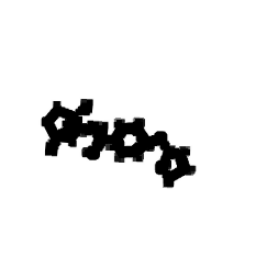 O=C(N[C@@H]1C[C@H]2CC[C@@H]1N2)c1ccc(ON2C=CCO2)cc1